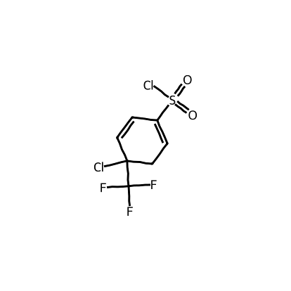 O=S(=O)(Cl)C1=CCC(Cl)(C(F)(F)F)C=C1